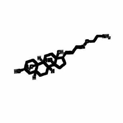 C[C@]12CC[C@H](O)C[C@H]1CC[C@@H]1[C@@H]2CC[C@]2(C)[C@@H](/C=C/C=NOCCN)CC[C@]12O